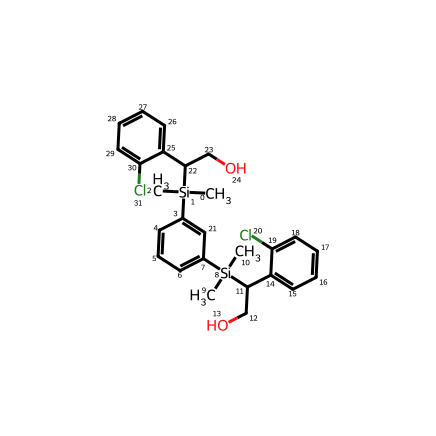 C[Si](C)(c1cccc([Si](C)(C)C(CO)c2ccccc2Cl)c1)C(CO)c1ccccc1Cl